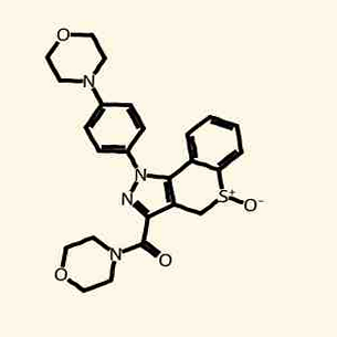 O=C(c1nn(-c2ccc(N3CCOCC3)cc2)c2c1C[S+]([O-])c1ccccc1-2)N1CCOCC1